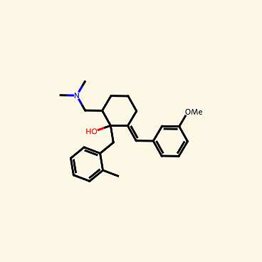 COc1cccc(C=C2CCCC(CN(C)C)C2(O)Cc2ccccc2C)c1